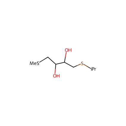 CSCC(O)C(O)CSC(C)C